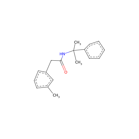 Cc1cccc(CC(=O)NC(C)(C)c2ccccc2)c1